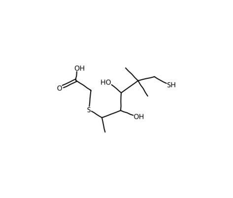 CC(SCC(=O)O)C(O)C(O)C(C)(C)CS